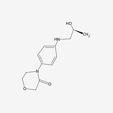 [CH2][C@H](O)CNc1ccc(N2CCOCC2=O)cc1